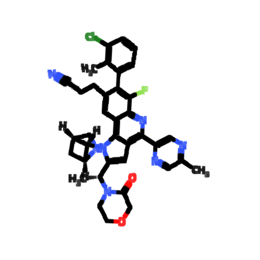 Cc1cnc(-c2nc3c(F)c(-c4cccc(Cl)c4C)c(CCC#N)cc3c3c2cc([C@@H](C)N2CCOCC2=O)n3[C@H]2[C@H]3CN[C@@H]2C3)cn1